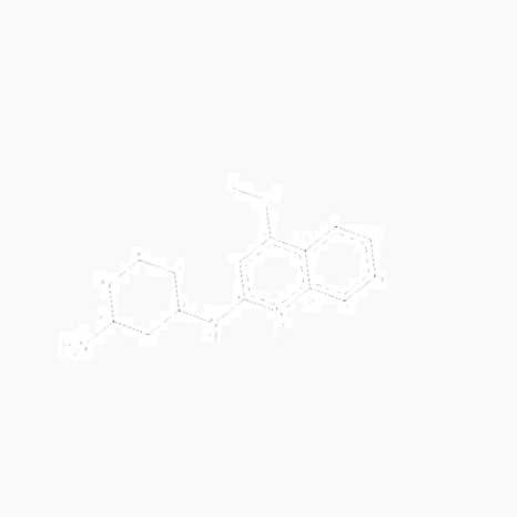 COc1cc(NC2CCCC(N)C2)nc2ccccc12